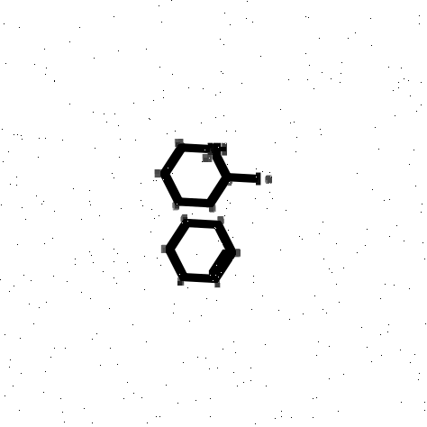 C1=CCCCC1.IC1CCCCN1